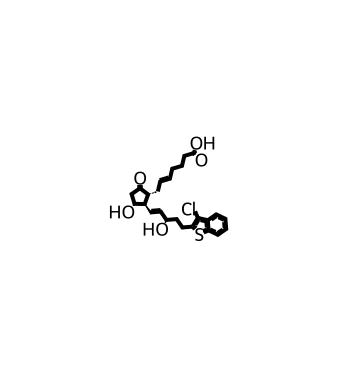 O=C(O)CCCC=CC[C@H]1C(=O)C[C@@H](O)[C@@H]1C=C[C@@H](O)CCc1sc2ccccc2c1Cl